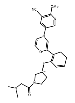 COc1ncc(N2C=COC(C3=C(O[C@H]4CCN(C(=O)CN(C)C)C4)C=CCC3)=C2)cc1C#N